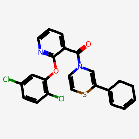 O=C(c1cccnc1Oc1cc(Cl)ccc1Cl)N1C=CSC(C2=CC=CCC2)=C1